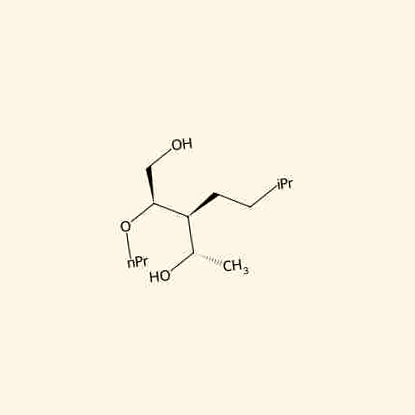 CCCO[C@@H](CO)[C@@H](CCC(C)C)[C@H](C)O